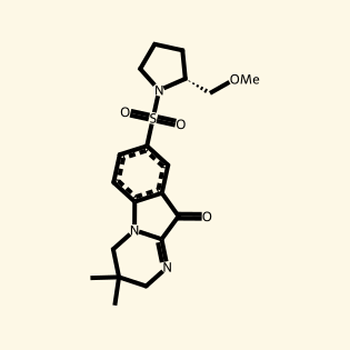 COC[C@H]1CCCN1S(=O)(=O)c1ccc2c(c1)C(=O)C1=NCC(C)(C)CN12